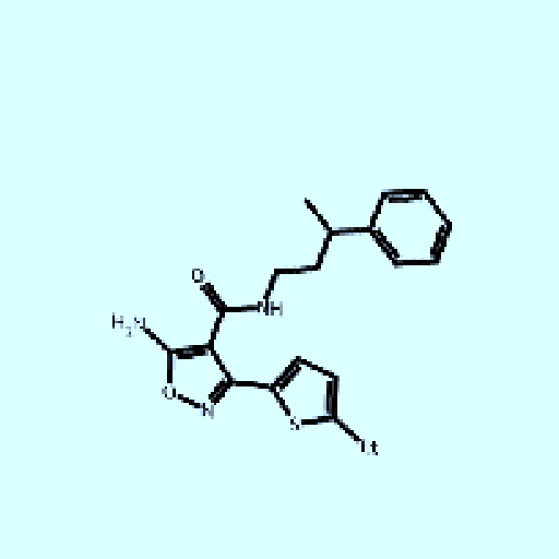 CCc1ccc(-c2noc(N)c2C(=O)NCCC(C)c2ccccc2)s1